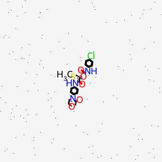 CSC[C@@H](OC(=O)Nc1ccc(Cl)cc1)C(=O)Nc1ccc(N2CCOCC2=O)cc1